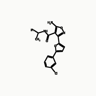 CC(C)C(C)NC(=O)c1c(-c2ccc(-c3cccc(Cl)c3)o2)noc1N